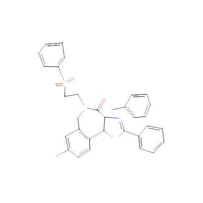 O=C1N(CCS(=O)(=O)c2ccccc2)Cc2cc(F)ccc2[C@@H]2OC(c3ccccc3)=N[C@]12Cc1ccccc1